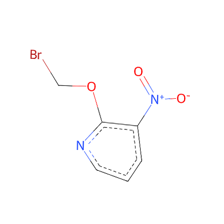 O=[N+]([O-])c1cccnc1OCBr